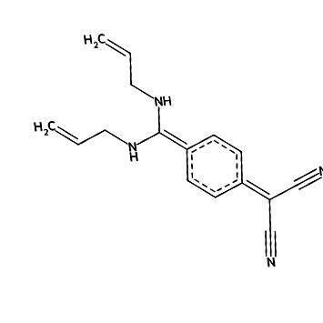 C=CCNC(NCC=C)=c1ccc(=C(C#N)C#N)cc1